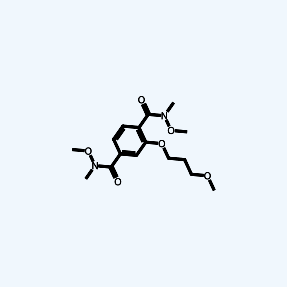 COCCCOc1cc(C(=O)N(C)OC)ccc1C(=O)N(C)OC